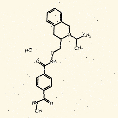 CC(C)N1Cc2ccccc2CC1CONC(=O)c1ccc(C(=O)NO)cc1.Cl